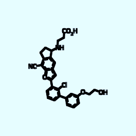 N#Cc1c2c(cc3cc(-c4cccc(-c5cccc(OCCO)c5)c4Cl)oc13)C(NCCC(=O)O)CC2